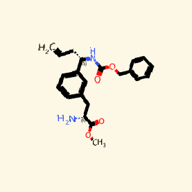 C=CC[C@H](NC(=O)OCc1ccccc1)c1cccc(C[C@@H](N)C(=O)OC)c1